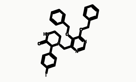 O=C1NCCN(Cc2ncnc(OCc3ccccc3)c2OCc2ccccc2)C1c1ccc(I)cc1